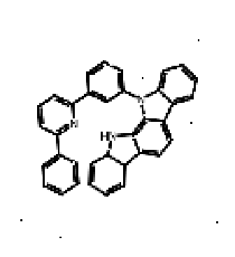 C1=CC2Nc3c(ccc4c5ccccc5n(-c5cccc(-c6cccc(-c7ccccc7)n6)c5)c34)C2C=C1